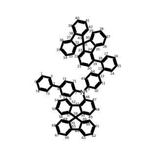 c1ccc(-c2ccc(N(c3ccc(-c4ccccc4-c4cccc5c4-c4ccccc4C54c5ccccc5-c5ccccc54)cc3)c3cccc4c3-c3ccccc3C43c4ccccc4-c4ccccc43)cc2)cc1